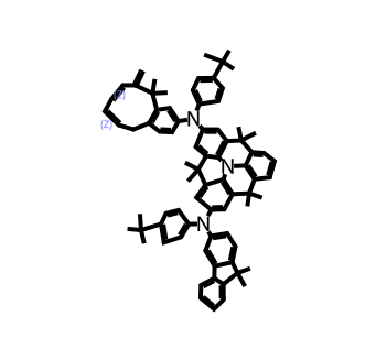 C=C1/C=C\C=C/Cc2ccc(N(c3ccc(C(C)(C)C)cc3)c3cc4c5c(c3)C(C)(C)c3cc(N(c6ccc(C(C)(C)C)cc6)c6ccc7c(c6)-c6ccccc6C7(C)C)cc6c3N5c3c(cccc3C4(C)C)C6(C)C)cc2C1(C)C